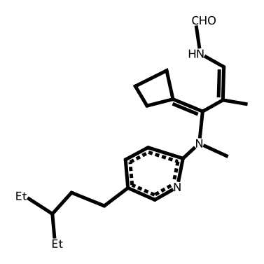 CCC(CC)CCc1ccc(N(C)C(=C2CCC2)/C(C)=C\NC=O)nc1